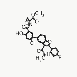 CNC(=O)c1c(-c2ccc(F)cc2)oc2ccc(-c3cc(C(=O)NC4(C(=O)OC)CC4)c(O)cc3Cl)cc12